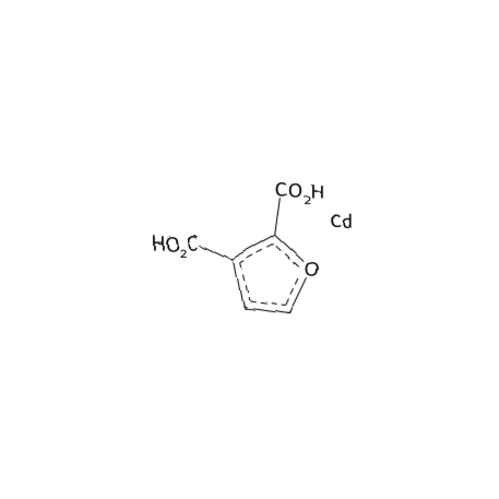 O=C(O)c1ccoc1C(=O)O.[Cd]